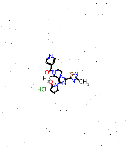 Cc1nsc(-c2nc(N3CCCC3=O)c3n2CCN(C(=O)c2ccncc2)[C@@H]3C)n1.Cl